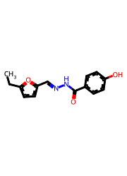 CCc1ccc(C=NNC(=O)c2ccc(O)cc2)o1